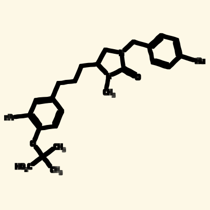 CCCc1cc(CCCC2CN(Cc3ccc(C(C)(C)C)cc3)C(=O)N2C)ccc1OC(C)(C)C(=O)O